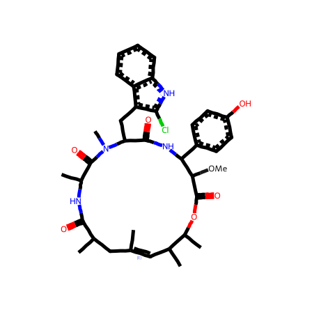 COC1C(=O)OC(C)C(C)/C=C(\C)CC(C)C(=O)NC(C)C(=O)N(C)C(Cc2c(Cl)[nH]c3ccccc23)C(=O)NC1c1ccc(O)cc1